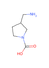 NCC1CCN(C(=O)O)C1